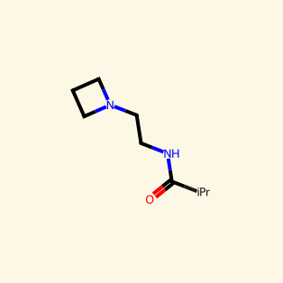 CC(C)C(=O)NCCN1CCC1